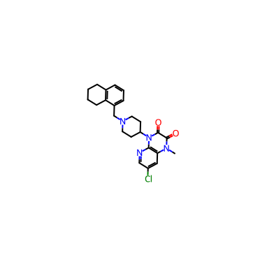 Cn1c(=O)c(=O)n(C2CCN(Cc3cccc4c3CCCC4)CC2)c2ncc(Cl)cc21